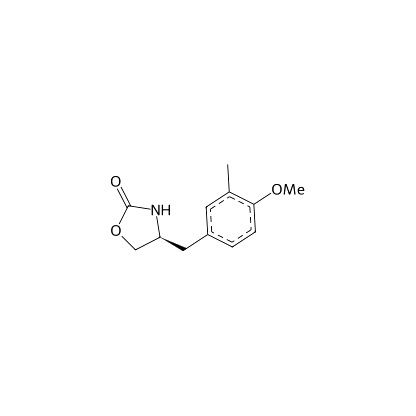 COc1ccc(C[C@H]2COC(=O)N2)cc1C